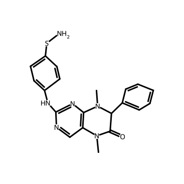 CN1C(=O)C(c2ccccc2)N(C)c2nc(Nc3ccc(SN)cc3)ncc21